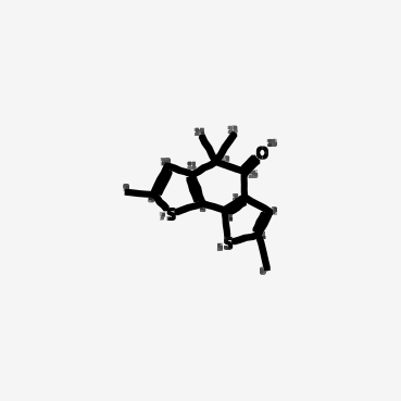 Cc1cc2c(s1)-c1sc(C)cc1C(C)(C)C2=O